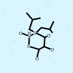 CC(C)C[Si]1(CC(C)C)C(Cl)C(Cl)C(Cl)O[SiH]1Cl